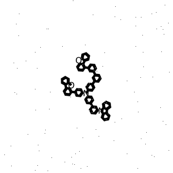 c1cc(-c2ccc(N(c3ccc(-c4cccc(-n5c6ccccc6c6ccccc65)c4)cc3)c3ccc(-c4cccc5c4oc4ccccc45)cc3)cc2)cc(-c2cccc(-c3cccc4oc5ccccc5c34)c2)c1